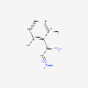 C/N=C\C(=N)c1c(C)cccc1C